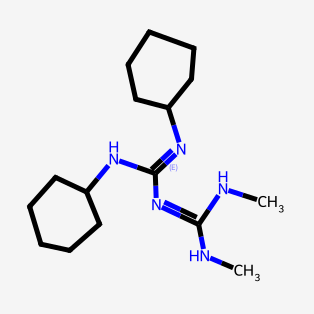 CNC(=N/C(=N/C1CCCCC1)NC1CCCCC1)NC